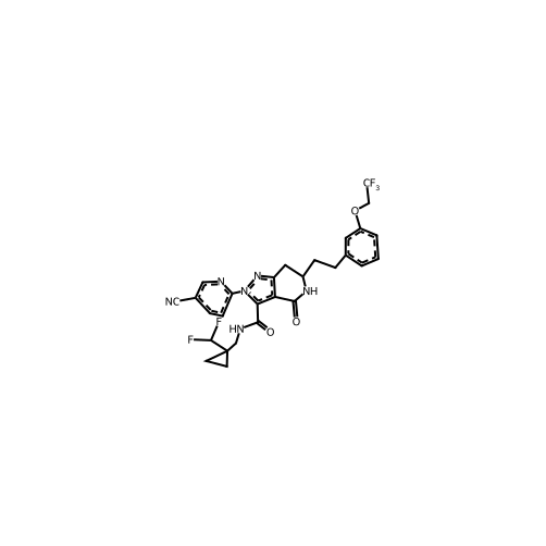 N#Cc1ccc(-n2nc3c(c2C(=O)NCC2(C(F)F)CC2)C(=O)NC(CCc2cccc(OCC(F)(F)F)c2)C3)nc1